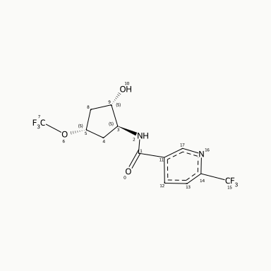 O=C(N[C@H]1C[C@H](OC(F)(F)F)C[C@@H]1O)c1ccc(C(F)(F)F)nc1